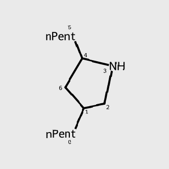 CCCCCC1CNC(CCCCC)C1